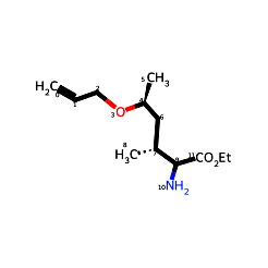 C=CCO[C@@H](C)C[C@@H](C)C(N)C(=O)OCC